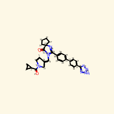 O=C(C1CC1)N1CCC(CN2C(=O)C3(CCCC3)N=C2c2ccc(-c3ccc(-c4nn[nH]n4)cc3)cc2)C1